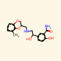 Cc1cccc2c1OC(CNCC(O)c1ccc(O)c(C(N)=O)c1)CO2